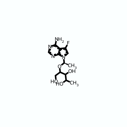 CC(O)C(O)C(CO)O[C@H](C)n1cc(F)c2c(N)ncnc21